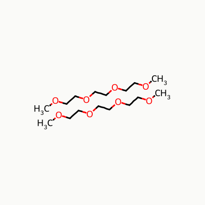 COCCOCCOCCOC.COCCOCCOCCOC